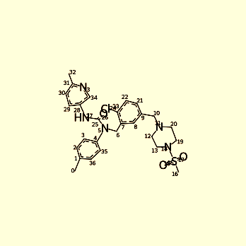 Cc1ccc(N(Cc2cc(CN3CCN(S(C)(=O)=O)CC3)ccc2Cl)C(=O)Nc2ccc(C)nc2)cc1